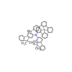 CC(C)(C)c1ccc(-c2cccc3c2C2(c4ccccc4-3)c3ccccc3-c3c(N(c4ccc5c(c4)C(C)(C)c4ccccc4-5)c4ccc5c(c4)C(C)(C)c4ccccc4-5)cccc32)cc1